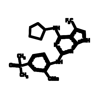 COc1cc(P(C)(C)=O)ccc1Nc1nc(NC2CCCC2)c2c(C(F)(F)F)c[nH]c2n1